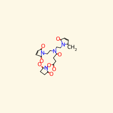 C=C1C=CC(=O)N1CCN(CCN1C(=O)C=CC1=O)C(=O)CCC(=O)ON1C(=O)CCC1=O